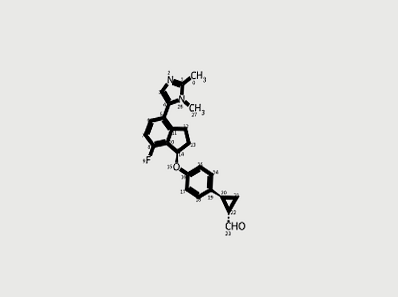 Cc1ncc(-c2ccc(F)c3c2CC[C@H]3Oc2ccc([C@H]3C[C@@H]3C=O)cc2)n1C